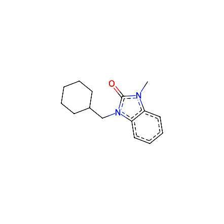 Cn1c(=O)n(CC2CCCCC2)c2ccccc21